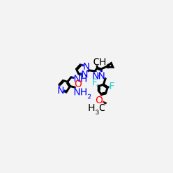 CCOc1cc(F)c(Cn2nc(-c3nccc(NCc4ccncc4C(N)=O)n3)c(C)c2C2CC2)c(F)c1